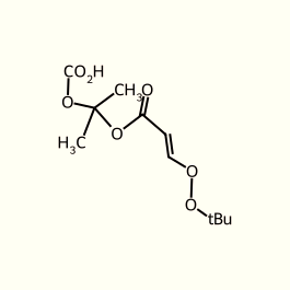 CC(C)(C)OOC=CC(=O)OC(C)(C)OC(=O)O